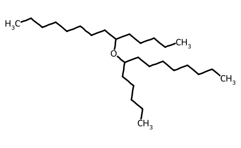 CCCCCCCCC(CCCCC)OC(CCCCC)CCCCCCCC